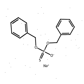 [Na+].[O-]P(=S)(OCc1ccccc1)OCc1ccccc1